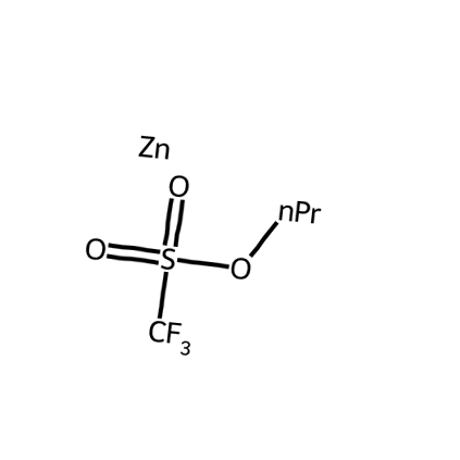 CCCOS(=O)(=O)C(F)(F)F.[Zn]